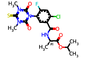 CC(C)OC(=O)[C@@H](C)NC(=O)c1cc(-n2c(=O)n(C)c(=S)n(C)c2=O)c(F)cc1Cl